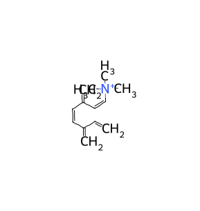 C=CC(=C)/C=C\C(=C)/C=C\[N+](C)(C)C